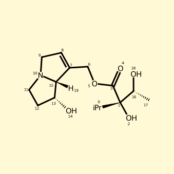 CC(C)[C@@](O)(C(=O)OCC1=CCN2CC[C@@H](O)[C@@H]12)[C@@H](C)O